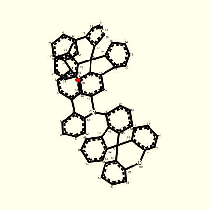 c1ccc(-c2ccc(-c3ccccc3N(c3ccc4c(c3)-c3ccccc3C43c4ccccc4Oc4ccccc43)c3cccc4c3-c3ccccc3C43c4ccccc4Oc4ccccc43)cc2)cc1